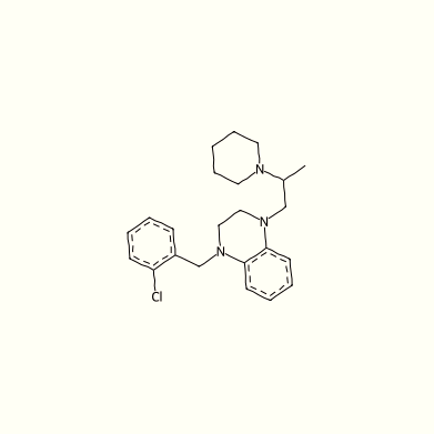 CC(CN1CCN(Cc2ccccc2Cl)c2ccccc21)N1CCCCC1